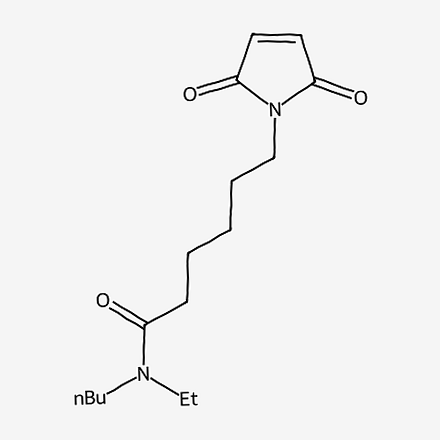 CCCCN(CC)C(=O)CCCCCN1C(=O)C=CC1=O